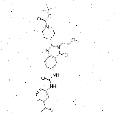 COCCn1c(C2CCN(C(=O)OC(C)(C)C)CC2)nc2ccc(NC(=O)Nc3cccc(C(C)=O)c3)cc2c1=O